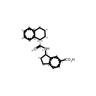 O=C(O)c1ccc2c(c1)C(NC(=O)[C@H]1CCCc3ccccc31)CC2